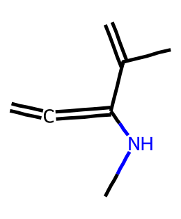 C=C=C(NC)C(=C)C